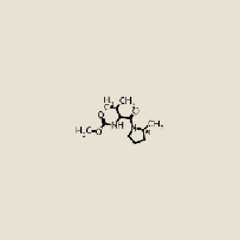 COC(=O)NC(C(=O)N1CCC[C@@H]1C)C(C)C